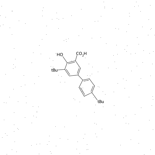 CC(C)(C)c1ccc(-c2cc(C(=O)O)c(O)c(C(C)(C)C)c2)cc1